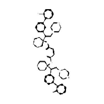 O=C(/C=C\C(=O)OC1(C(CN2CCNCC2)c2cccc(-c3ccccc3F)c2)CCCCC1)OC1(C(CN2CCNCC2)c2cccc(-c3ccccc3F)c2)CCCCC1